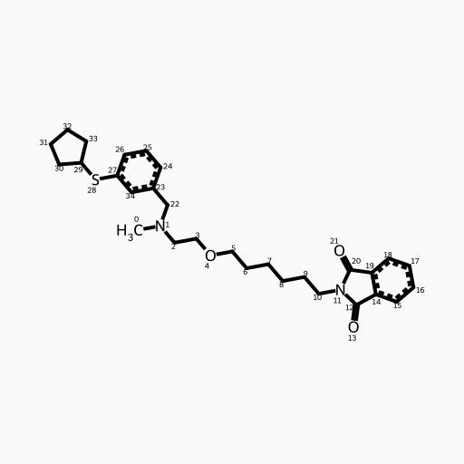 CN(CCOCCCCCCN1C(=O)c2ccccc2C1=O)Cc1cccc(SC2CCCC2)c1